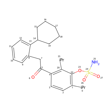 CC(C)c1ccc(C(=O)Cc2ccccc2C2CCCCC2)c(C(C)C)c1OS(N)(=O)=O